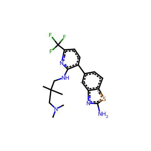 CN(C)CC(C)(C)CNc1nc(C(F)(F)F)ccc1-c1[c]c2nc(N)sc2cc1